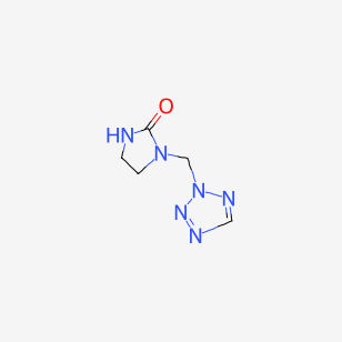 O=C1NCCN1Cn1ncnn1